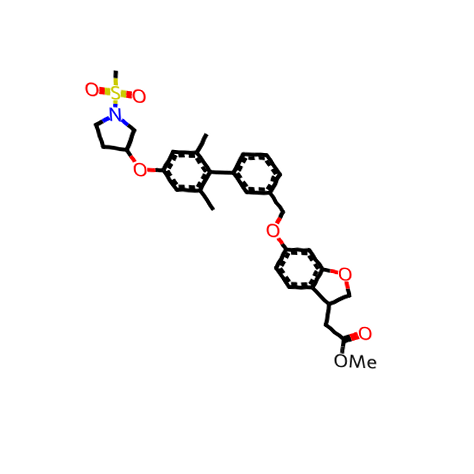 COC(=O)CC1COc2cc(OCc3cccc(-c4c(C)cc(OC5CCN(S(C)(=O)=O)C5)cc4C)c3)ccc21